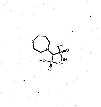 O=P(O)(O)C(N1CCCSCC1)P(=O)(O)O